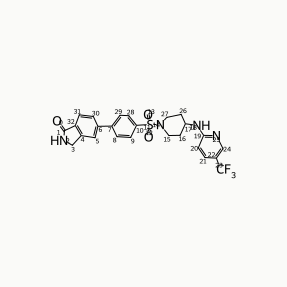 O=C1NCc2cc(-c3ccc(S(=O)(=O)N4CCC(Nc5ccc(C(F)(F)F)cn5)CC4)cc3)ccc21